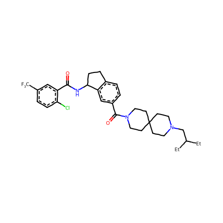 CCC(CC)CN1CCC2(CC1)CCN(C(=O)c1ccc3c(c1)C(NC(=O)c1cc(C(F)(F)F)ccc1Cl)CC3)CC2